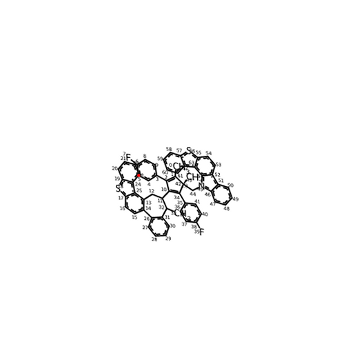 CC1=C(c2ccc(F)cc2)C(C2Cc3c(ccc4sc5ccccc5c34)-c3ccccc3C2C)=C(c2ccc(F)cc2)[C@@]1(C)Cn1c2ccccc2c2ccc3sc4ccccc4c3c21